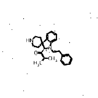 CC(C)C(=O)[C@@H]1N(CCc2ccccc2)c2ccccc2C12CCNCC2